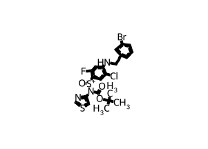 CC(C)(C)OC(=O)N(c1cscn1)[S+]([O-])c1cc(Cl)c(NCc2cccc(Br)c2)cc1F